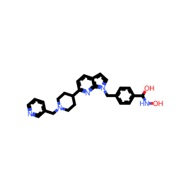 ONC(O)c1ccc(Cn2ccc3ccc(C4CCN(Cc5cccnc5)CC4)nc32)cc1